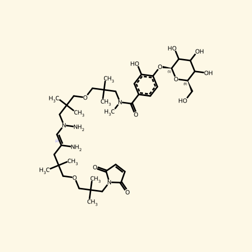 CN(CC(C)(C)COCC(C)(C)CN(N)/C=C(\N)CC(C)(C)COCC(C)(C)CN1C(=O)C=CC1=O)C(=O)c1ccc(O[C@@H]2O[C@H](CO)C(O)C(O)C2O)c(O)c1